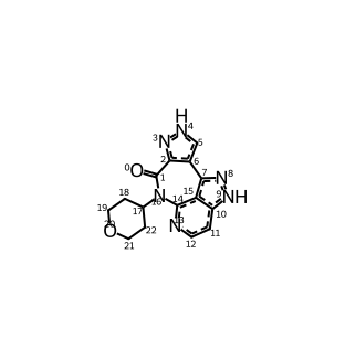 O=C1c2n[nH]cc2-c2n[nH]c3ccnc(c23)N1C1CCOCC1